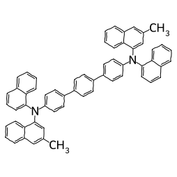 Cc1cc(N(c2ccc(-c3ccc(-c4ccc(N(c5cccc6ccccc56)c5cc(C)cc6ccccc56)cc4)cc3)cc2)c2cccc3ccccc23)c2ccccc2c1